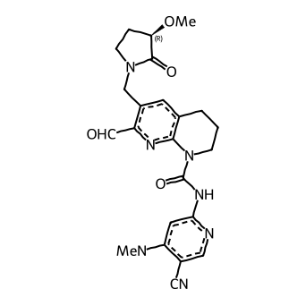 CNc1cc(NC(=O)N2CCCc3cc(CN4CC[C@@H](OC)C4=O)c(C=O)nc32)ncc1C#N